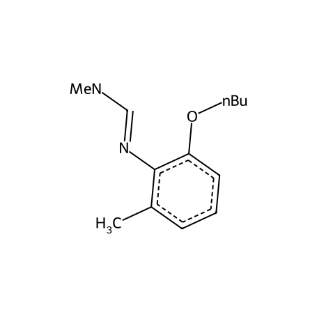 CCCCOc1cccc(C)c1N=CNC